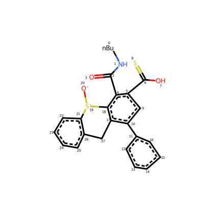 CCCCNC(=O)c1c(C(O)=S)cc(-c2ccccc2)c2c1[S+]([O-])c1ccccc1C2